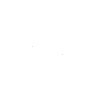 CCCOC(C)C(=O)Nc1ccc(N2CC[C@H](N3CCC[C@@H]3C)C2)cc1C